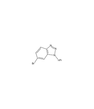 CCCn1nnc2ccc(Br)cc21